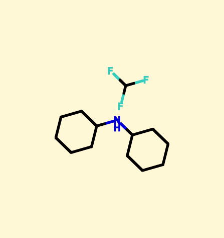 C1CCC(NC2CCCCC2)CC1.FC(F)F